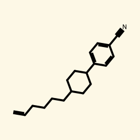 C=CCCCCC1CCC(c2ccc(C#N)cc2)CC1